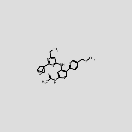 CCc1cc(Nc2cc(NC(C)=O)ncc2-c2ccc(COC)cn2)nc(C23COC(C2)C3)n1